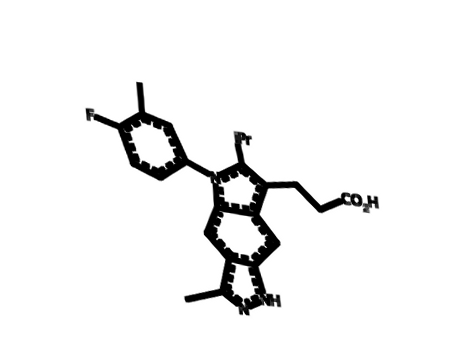 Cc1cc(-n2c(C(C)C)c(CCC(=O)O)c3cc4[nH]nc(C)c4cc32)ccc1F